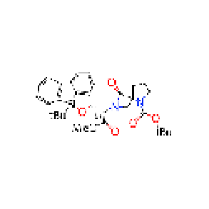 COC(=O)[C@H](CO[Si](c1ccccc1)(c1ccccc1)C(C)(C)C)N1CC2(CCCN2C(=O)OC(C)(C)C)C1=O